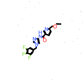 CCOCc1ccc(C(=O)Nc2cn(Cc3cc(F)c(F)c(F)c3)cn2)cn1